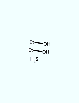 CCO.CCO.S